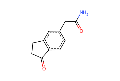 NC(=O)Cc1ccc2c(c1)CCC2=O